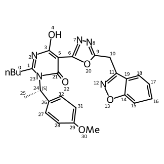 CCCCc1nc(O)c(-c2nnc(Cc3noc4ccccc34)o2)c(=O)n1[C@@H](C)c1ccc(OC)cc1